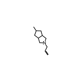 C=CCN1CC2CC(C)CC2C1